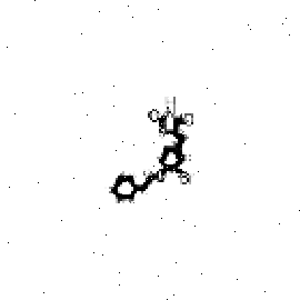 O=C1NC(=O)/C(=C/c2ccc(OCCC3CCCCC3)c(Br)c2)S1